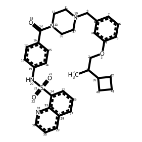 CC(COc1cccc(CN2CCN(C(=O)c3ccc(NS(=O)(=O)c4cccc5cccnc45)cc3)CC2)c1)C1CCC1